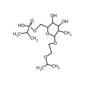 CC(C)OCCOC1OC(COP(=O)(O)C(C)C)C(O)C(O)C1C